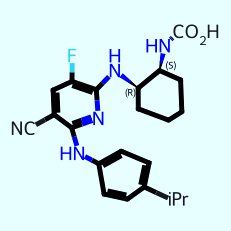 CC(C)c1ccc(Nc2nc(N[C@@H]3CCCC[C@@H]3NC(=O)O)c(F)cc2C#N)cc1